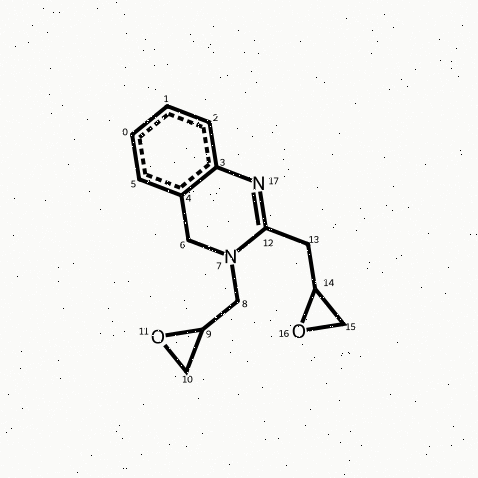 c1ccc2c(c1)CN(CC1CO1)C(CC1CO1)=N2